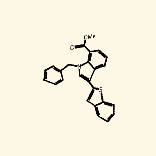 COC(=O)c1cccc2c(-c3cc4ccccc4s3)cn(Cc3ccccc3)c12